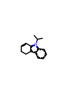 CC(C)n1c2c(c3ccccc31)CCC=C2